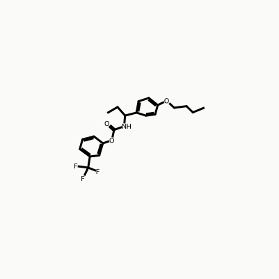 CCCCOc1ccc(C(CC)NC(=O)Oc2cccc(C(F)(F)F)c2)cc1